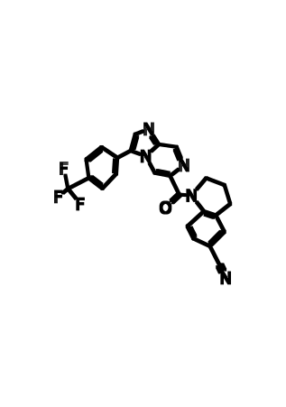 N#Cc1ccc2c(c1)CCCN2C(=O)c1cn2c(-c3ccc(C(F)(F)F)cc3)cnc2cn1